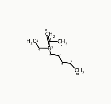 C=C(C)B(CC)CCCCC